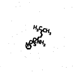 CC(C)=C/C=C\C=C(/N)OC(=S)Oc1ccccn1